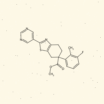 COC(=O)C1(c2cccc(F)c2C)CCc2nc(-c3cncnc3)sc2C1